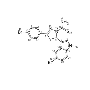 Cn1cc(C2CC(c3ccc(Br)cc3)=NN2C(N)=S)c2cc(Br)ccc21